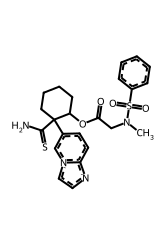 CN(CC(=O)OC1CCCCC1(C(N)=S)c1ccc2nccn2c1)S(=O)(=O)c1ccccc1